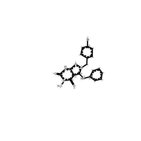 Cn1c(=O)[nH]c2nn(Cc3ccc(Br)cc3)c(Nc3ccccc3)c2c1=O